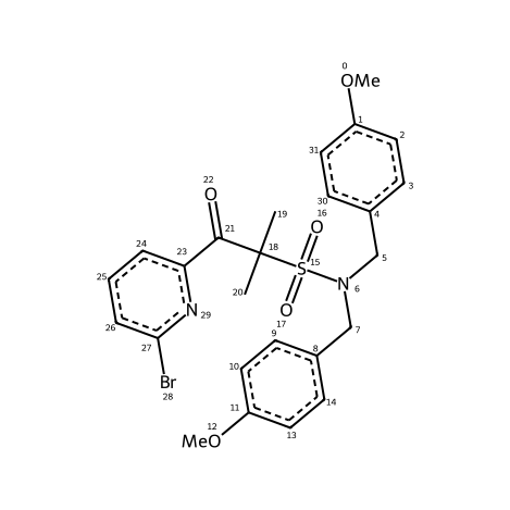 COc1ccc(CN(Cc2ccc(OC)cc2)S(=O)(=O)C(C)(C)C(=O)c2cccc(Br)n2)cc1